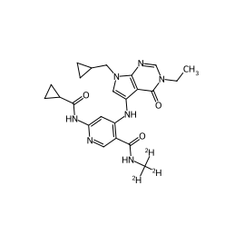 [2H]C([2H])([2H])NC(=O)c1cnc(NC(=O)C2CC2)cc1Nc1cn(CC2CC2)c2ncn(CC)c(=O)c12